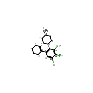 CCC[C@H]1CC[C@H](c2c(C3=CCCCC3)cc(F)c(F)c2F)CC1